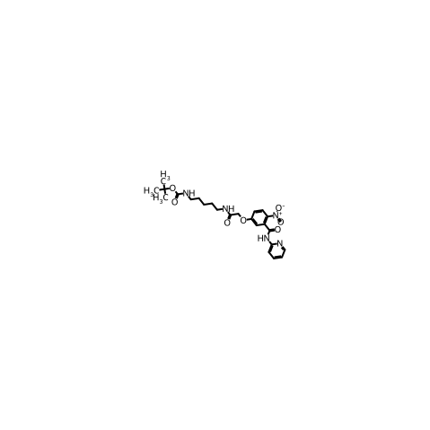 CC(C)(C)OC(=O)NCCCCCNC(=O)COc1ccc([N+](=O)[O-])c(C(=O)Nc2ccccn2)c1